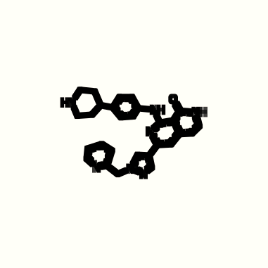 O=c1[nH]ccc2cc(-c3cnn(Cc4ccccn4)c3)nc(Nc3ccc(C4CCNCC4)cc3)c12